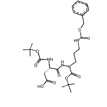 CC(C)(C)OC(=O)N[C@@H](CC(=O)O)C(=O)NN(CCCNC(=O)OCc1ccccc1)C(=O)OC(C)(C)C